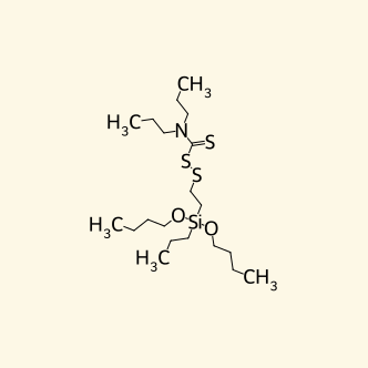 CCCCO[Si](CCC)(CCSSC(=S)N(CCC)CCC)OCCCC